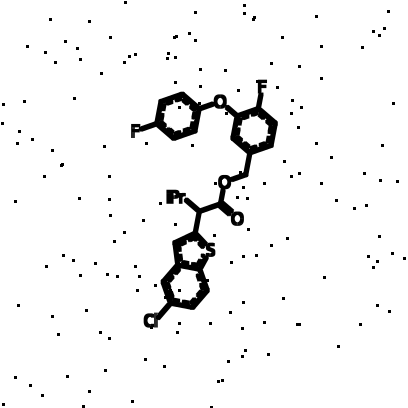 CC(C)C(C(=O)OCc1ccc(F)c(Oc2ccc(F)cc2)c1)c1cc2cc(Cl)ccc2s1